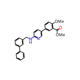 COC(=O)c1cc(-c2ccc(NCc3cccc(-c4ccccc4)c3)nc2)ccc1OC